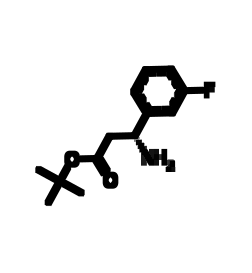 CC(C)(C)OC(=O)C[C@@H](N)c1cccc(F)c1